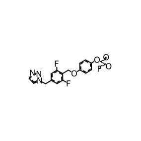 O=S(=O)(F)Oc1ccc(OCc2c(F)cc(Cn3ccnn3)cc2F)cc1